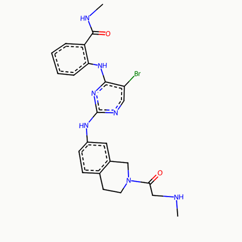 CNCC(=O)N1CCc2ccc(Nc3ncc(Br)c(Nc4ccccc4C(=O)NC)n3)cc2C1